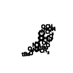 Cc1cn(C(=O)OC(C)(C)C)c2ncc(-c3cc4c(c([C@@H]5COCCN5C(=O)OC(C)(C)C)c3)CN(C(=O)C(C)(O)C(F)(F)F)CC4)cc12